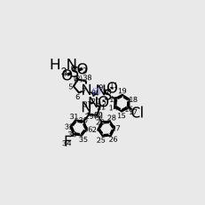 NS(=O)(=O)[C@@H]1CCN(/C(=N/S(=O)(=O)c2ccc(Cl)cc2)N2C[C@@H](c3ccccc3)C(c3ccc(F)cc3)=N2)C1